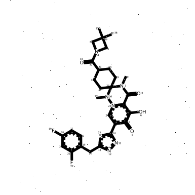 CN1C(=O)c2c(O)c(=O)c(-c3nnc(Cc4ccc(F)cc4F)s3)cn2N(C)C12CCC(C(=O)N1CC(C)(F)C1)CC2